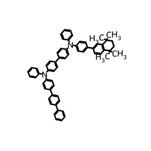 CC1(C)CCC(C)(C)c2cc(-c3ccc(N(c4ccccc4)c4ccc(-c5ccc(N(c6ccccc6)c6ccc(-c7ccc(-c8ccccc8)cc7)cc6)cc5)cc4)cc3)ccc21